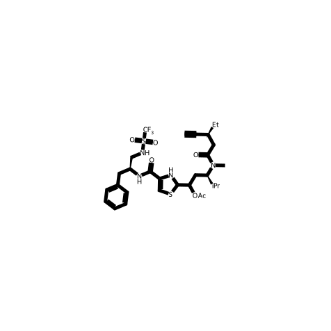 C#C[C@@H](CC)CC(=O)N(C)[C@H](CC(OC(C)=O)C1NC(C(=O)N[C@H](CNS(=O)(=O)C(F)(F)F)Cc2ccccc2)=CS1)C(C)C